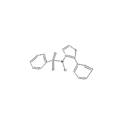 O=S(=O)(c1ccccc1)N(Cl)c1ccsc1-c1ccccc1